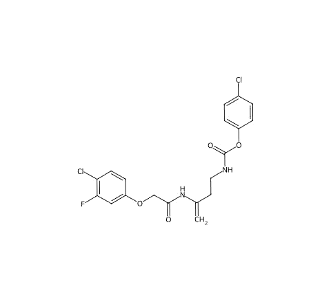 C=C(CCNC(=O)Oc1ccc(Cl)cc1)NC(=O)COc1ccc(Cl)c(F)c1